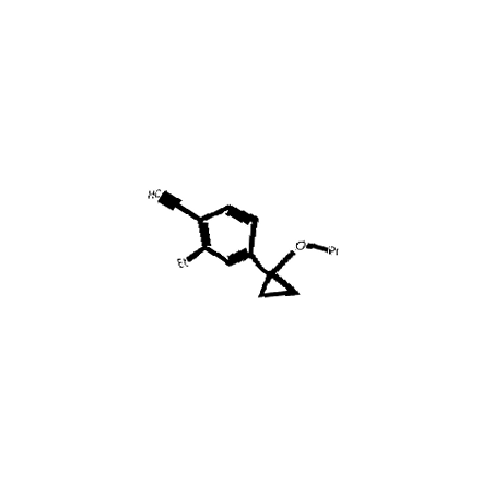 C#Cc1ccc(C2(OC(C)C)CC2)cc1CC